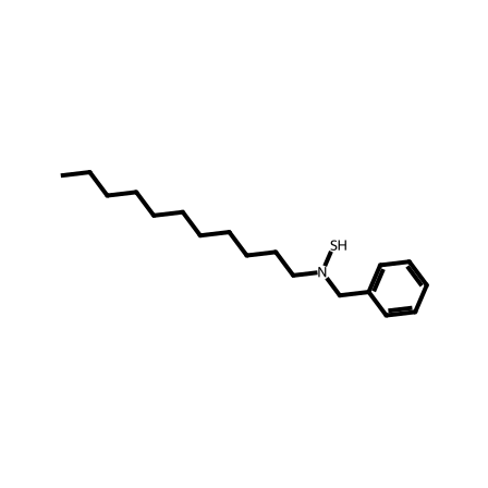 CCCCCCCCCCCN(S)Cc1ccccc1